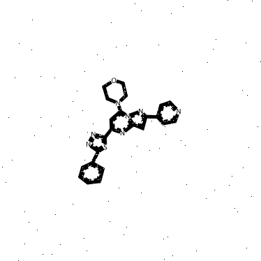 c1ccc(-c2nnc(-c3cc(N4CCOCC4)n4nc(-c5ccncc5)cc4n3)s2)cc1